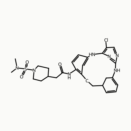 CN(C)S(=O)(=O)N1CCC(CC(=O)Nc2ccc3cc2CCC2C=CC=C(C2)Nc2ncc(Cl)c(n2)N3)CC1